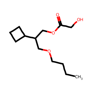 CCCCOCC(COC(=O)CO)C1CCC1